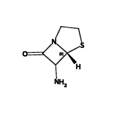 NC1C(=O)N2CCS[C@H]12